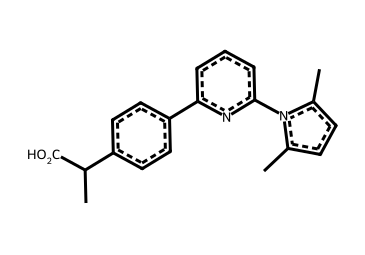 Cc1ccc(C)n1-c1cccc(-c2ccc(C(C)C(=O)O)cc2)n1